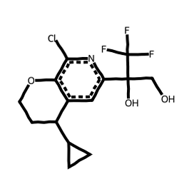 OCC(O)(c1cc2c(c(Cl)n1)OCCC2C1CC1)C(F)(F)F